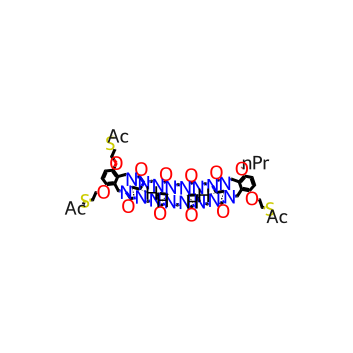 CCCOc1ccc(OCCSC(C)=O)c2c1CN1C(=O)N3CN4C(=O)N5CN6C(=O)N7CN8C(=O)N9Cc%10c(OCCSC(C)=O)ccc(OCCSC(C)=O)c%10CN%10C(=O)N(CN%11C(=O)N(CN%12C(=O)N(CN%13C(=O)N(C2)[C@@]1(C)[C@]3%13C)[C@H]4[C@H]5%12)[C@H]6[C@H]7%11)[C@@]8(C)[C@]9%10C